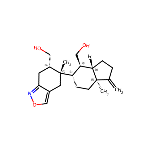 C=C1CC[C@H]2[C@H](CO)[C@@H]([C@]3(C)Cc4conc4C[C@@H]3CO)CC[C@]12C